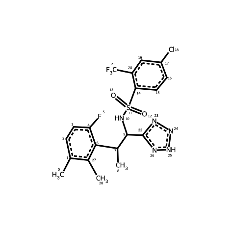 Cc1ccc(F)c(C(C)C(NS(=O)(=O)c2ccc(Cl)cc2C(F)(F)F)c2nn[nH]n2)c1C